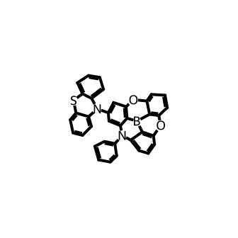 c1ccc(N2c3cccc4c3B3c5c(cccc5Oc5cc(N6c7ccccc7Sc7ccccc76)cc2c53)O4)cc1